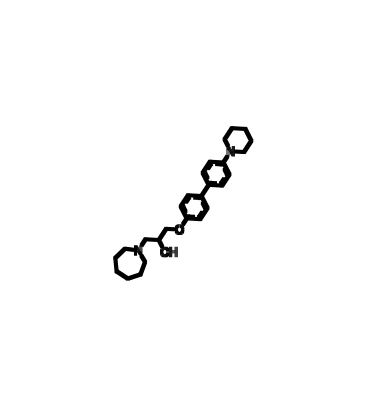 OC(COc1ccc(-c2ccc(N3CCCCC3)cc2)cc1)CN1CCCCCC1